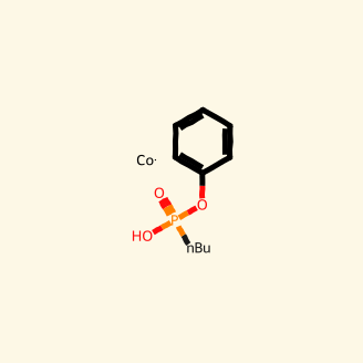 CCCCP(=O)(O)Oc1ccccc1.[Co]